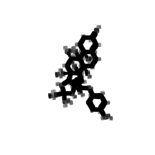 Cc1ccc(OCC(=O)[C@@]23OC(C)(C)O[C@@H]2C[C@H]2[C@@H]4CCC5=CC(=O)CC[C@]5(C)[C@H]4[C@@H](O)C[C@@]23C)cc1